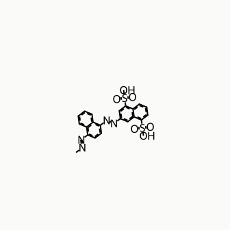 CN=Nc1ccc(N=Nc2cc(S(=O)(=O)O)c3cccc(S(=O)(=O)O)c3c2)c2ccccc12